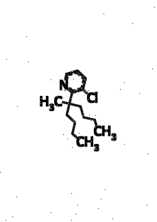 CCCCC(C)(CCCC)c1ncccc1Cl